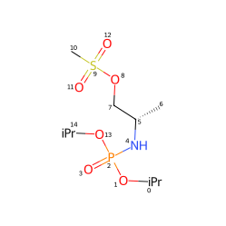 CC(C)OP(=O)(N[C@@H](C)COS(C)(=O)=O)OC(C)C